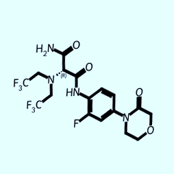 NC(=O)[C@H](C(=O)Nc1ccc(N2CCOCC2=O)cc1F)N(CC(F)(F)F)CC(F)(F)F